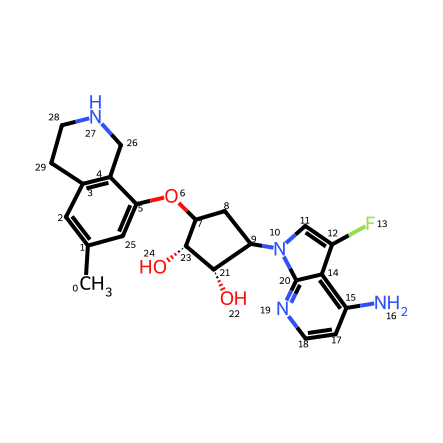 Cc1cc2c(c(OC3CC(n4cc(F)c5c(N)ccnc54)[C@H](O)[C@@H]3O)c1)CNCC2